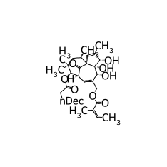 C/C=C(/C)C(=O)OCC1=C[C@@H]2C(=O)[C@]3(C=C(C)[C@H](O)[C@@]3(O)[C@@H]1O)[C@H](C)CC(C)(C)[C@@H]2OC(=O)CCCCCCCCCCC